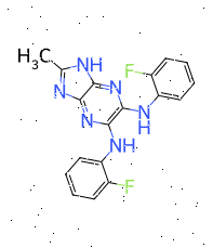 Cc1nc2nc(Nc3ccccc3F)c(Nc3ccccc3F)nc2[nH]1